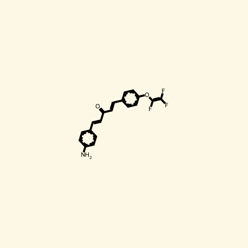 Nc1ccc(C=CC(=O)C=Cc2ccc(OC(F)=C(F)F)cc2)cc1